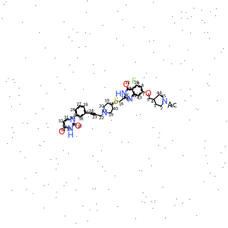 CC(=O)N1CCC(COc2cc(F)c3c(=O)[nH]c(CSC4CCN(CC#Cc5cccc(-n6ccc(=O)[nH]c6=O)c5)CC4)nc3c2)CC1